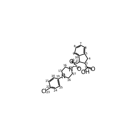 O=C(O)C1Cc2ccccc2C1S(=O)(=O)N1CCN(c2ccc(Cl)cc2)CC1